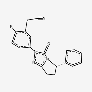 N#CCc1cc(-n2nc3n(c2=O)[C@H](c2ccccc2)CC3)ccc1F